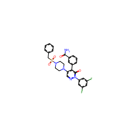 NC(=O)c1cccc(-c2c(N3CCN(S(=O)(=O)Cc4ccccc4)CC3)cnn(-c3cc(F)cc(F)c3)c2=O)c1